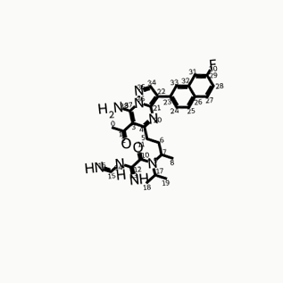 CC(=O)c1c(CCC(C)N(C(=O)C(=N)NC=N)C(C)C)nc2c(-c3ccc4ccc(F)cc4c3)cnn2c1N